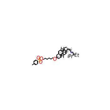 CC[C@H](/C=C/[C@@H](C)[C@H]1CC[C@H]2[C@@H]3CC=C4C[C@@H](OCCCCCCOS(=O)(=O)c5ccc(C)cc5)CC[C@]4(C)[C@H]3CC[C@]12C)C(C)C